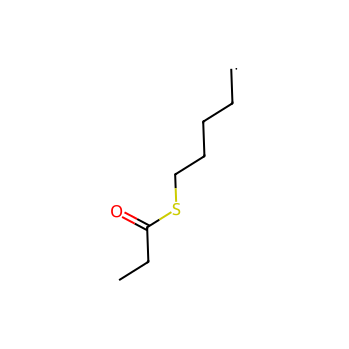 [CH2]CCCCSC(=O)CC